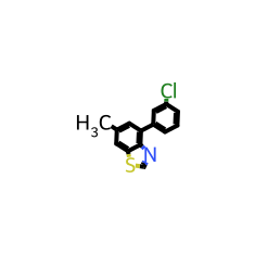 Cc1cc(-c2cccc(Cl)c2)c2ncsc2c1